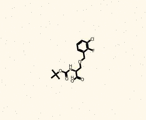 CC(C)(C)OC(=O)NC(COCc1cccc(Cl)c1F)C(=O)O